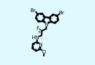 COc1cccc(NC[C@@H](F)Cn2c3ccc(Br)cc3c3cc(Br)ccc32)n1